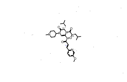 COc1ccc(/C=C/C(=O)N2O[C@H](CC(C)C)C(=O)N3C2=CN(C2CCN(C)CC2)C(=O)[C@@H]3CC(C)C)nc1